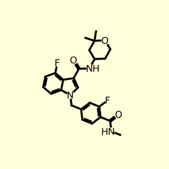 CNC(=O)c1ccc(Cn2cc(C(=O)NC3CCOC(C)(C)C3)c3c(F)cccc32)cc1F